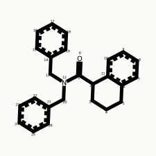 O=C(C1CCCc2ccccc21)N(Cc1ccccc1)Cc1ccccc1